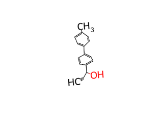 C#CC(O)c1ccc(-c2ccc(C)cc2)cc1